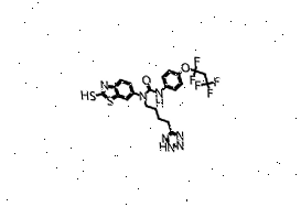 O=C(Nc1ccc(OC(F)(F)CC(F)(F)F)cc1)N(CCCCc1nn[nH]n1)c1ccc2nc(S)sc2c1